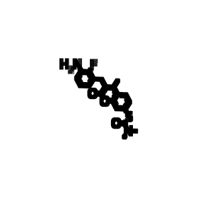 Cc1c(Cc2cccc(N)c2F)c(=O)oc2cc(SC(=O)N(C)C)ccc12